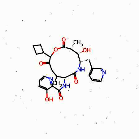 C[C@H]1CC(=O)C(C2CCC2)OC(=O)[C@H](C)[C@H](O)[C@H](Cc2cccnc2)NC(=O)[C@H]1NC(=O)c1ncccc1O